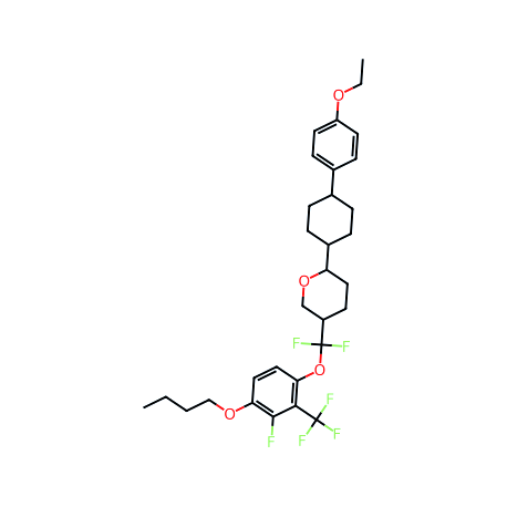 CCCCOc1ccc(OC(F)(F)C2CCC(C3CCC(c4ccc(OCC)cc4)CC3)OC2)c(C(F)(F)F)c1F